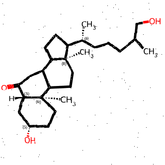 CC(CO)CCC[C@@H](C)C1CCC2C3CC(=O)[C@H]4C[C@@H](O)CC[C@]4(C)C3CC[C@@]21C